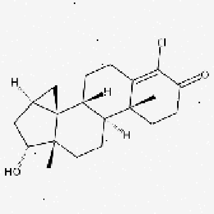 C[C@]12CCC(=O)C(Cl)=C1CC[C@@H]1[C@@H]2CC[C@]2(C)[C@H](O)C[C@H]3C[C@@]312